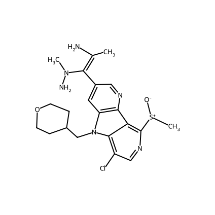 C/C(N)=C(\c1cnc2c3c([S+](C)[O-])ncc(Cl)c3n(CC3CCOCC3)c2c1)N(C)N